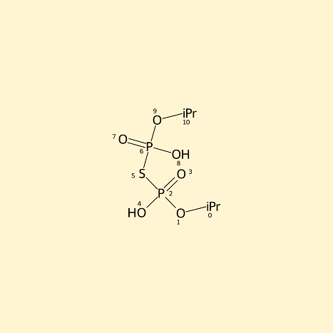 CC(C)OP(=O)(O)SP(=O)(O)OC(C)C